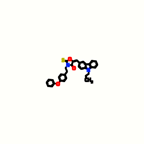 C=CCn1c2ccccc2c2cc(/C=C3/OC(=S)N(CCc4ccc(Oc5ccccc5)cc4)C3=O)ccc21